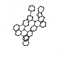 c1ccc(-c2cc(N(c3ccccc3-c3ccccc3)c3cccc4c3oc3ccccc34)c3cc(N(c4ccccc4-c4ccccc4)c4cccc5c4oc4ccccc45)c(-c4ccccc4)cc3c2)cc1